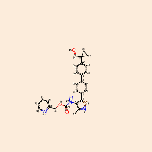 Cc1nsc(-c2ccc(-c3ccc(C4(C=O)CC4)cc3)cc2)c1NC(=O)OCc1ccccn1